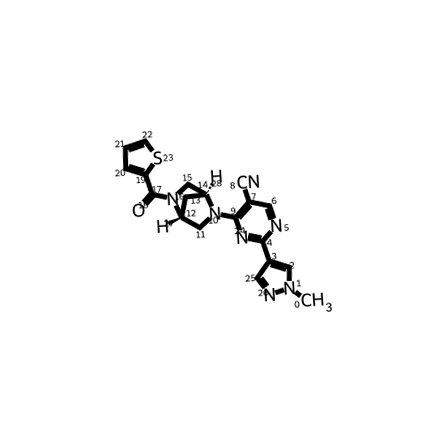 Cn1cc(-c2ncc(C#N)c(N3C[C@H]4C[C@H]3CN4C(=O)c3cccs3)n2)cn1